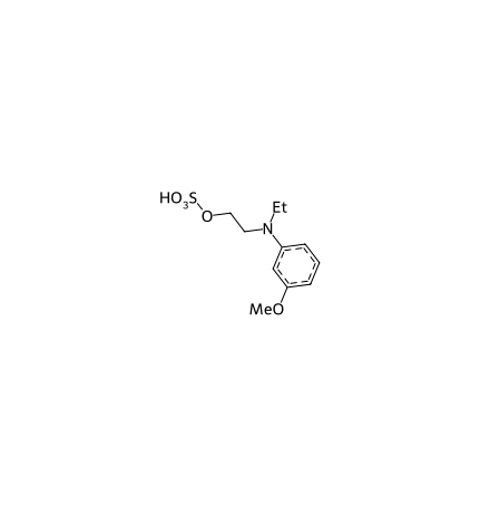 CCN(CCOS(=O)(=O)O)c1cccc(OC)c1